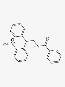 O=C(NCC(c1ccccc1)c1ccccc1[N+](=O)[O-])c1ccccc1